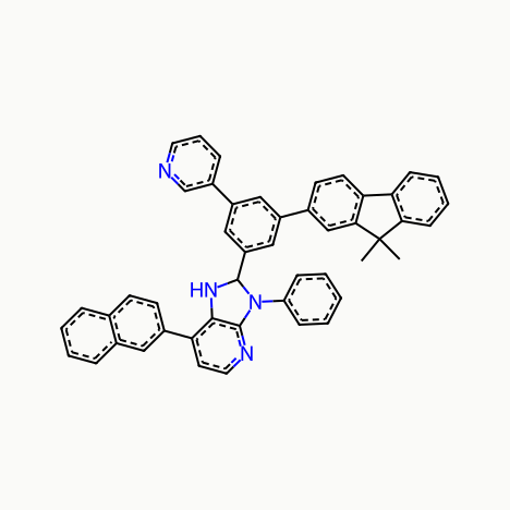 CC1(C)c2ccccc2-c2ccc(-c3cc(-c4cccnc4)cc(C4Nc5c(-c6ccc7ccccc7c6)ccnc5N4c4ccccc4)c3)cc21